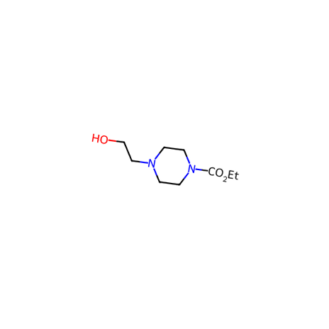 [CH2]COC(=O)N1CCN(CCO)CC1